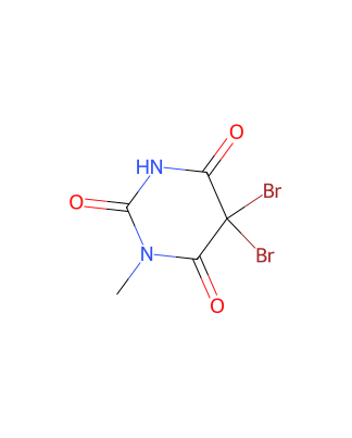 CN1C(=O)NC(=O)C(Br)(Br)C1=O